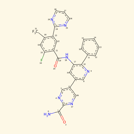 NC(=O)c1ncc(-c2cnc(-c3ccccc3)c(NC(=O)c3cc(-c4ncccn4)c(C(F)(F)F)cc3F)c2)cn1